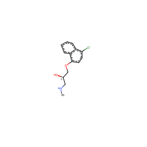 CC(C)NC[C@@H](O)COc1ccc(Cl)c2ccccc12